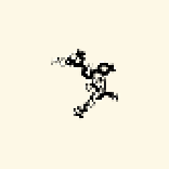 CC1(C)CC=C(c2nc(C3CC(C)(C)OC(C)(CO)C3)ccc2NC(=O)c2nc(C#N)cn2COCC[Si](C)(C)C)CC1